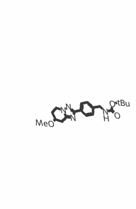 COC1CCn2nc(-c3ccc(CNC(=O)OC(C)(C)C)cc3)nc2C1